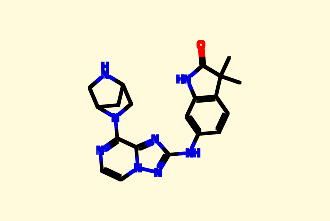 CC1(C)C(=O)Nc2cc(Nc3nc4c(N5CC6CC5CN6)nccn4n3)ccc21